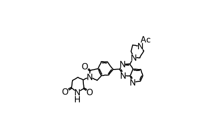 CC(=O)N1CCN(c2nc(-c3ccc4c(c3)CN(C3CCC(=O)NC3=O)C4=O)nc3ncccc23)CC1